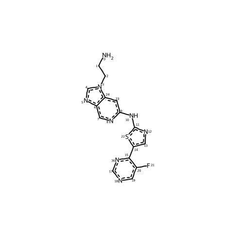 NCCn1cnc2cnc(Nc3ncc(-c4ncncc4F)s3)cc21